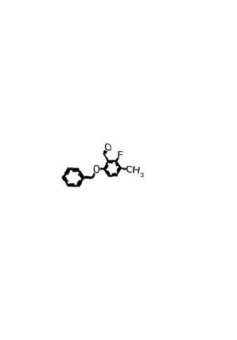 Cc1ccc(OCc2ccccc2)c(C=O)c1F